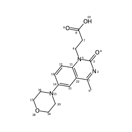 Cc1nc(=O)n(CCC(=O)O)c2ccc(N3CCOCC3)cc12